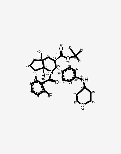 Cc1cccc(F)c1C(=O)N1[C@@H]2CCC[C@@H]2C[C@@H](C(=O)OC(C)(C)C)[C@@H]1c1ccc(NC2CCOCC2)cc1